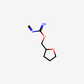 C=NC(=N)OCC1CCCO1